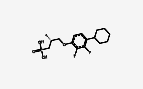 C[C@H](COc1ccc(C2CCCCC2)c(F)c1F)CP(=O)(O)O